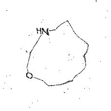 [CH]1NCCCCCO1